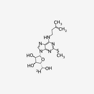 [2H]C(O)[C@H]1O[C@@H](n2cnc3c(NCCC(=C)C)nc(SC)nc32)[C@H](O)[C@@H]1O